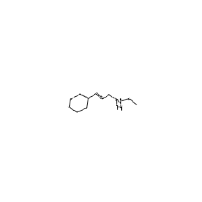 CCNCC=CC1CCCCC1